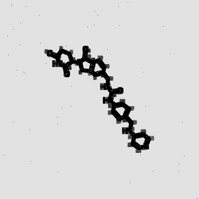 O=C1CCC(N2Cc3cc(CNC(=O)Nc4ccc(CNc5ccncc5)cc4)ccc3C2=O)C(=O)N1